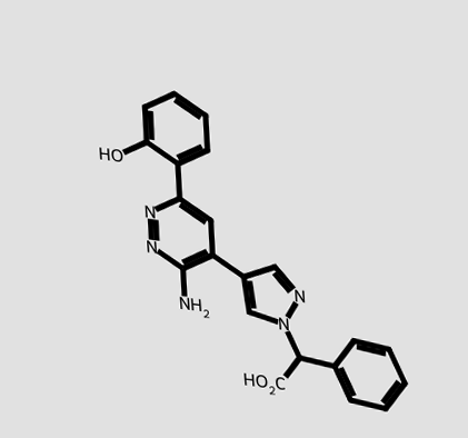 Nc1nnc(-c2ccccc2O)cc1-c1cnn(C(C(=O)O)c2ccccc2)c1